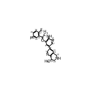 C[C@@H](Oc1cc(-c2cnc3c(c2)CNCC3O)cnc1N)c1cc(F)ccc1F